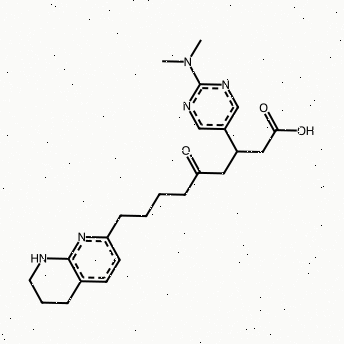 CN(C)c1ncc(C(CC(=O)O)CC(=O)CCCCc2ccc3c(n2)NCCC3)cn1